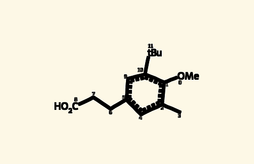 COc1c(C)cc(CCC(=O)O)cc1C(C)(C)C